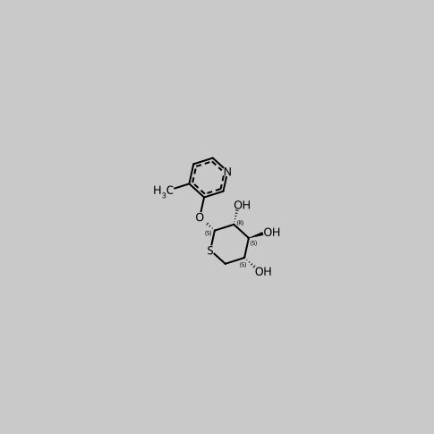 Cc1ccncc1O[C@H]1SC[C@@H](O)[C@H](O)[C@H]1O